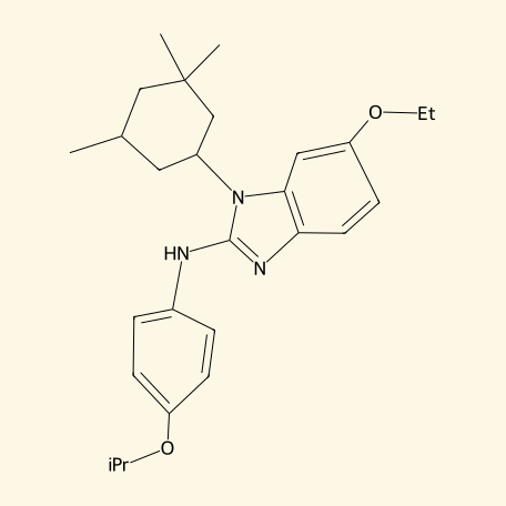 CCOc1ccc2nc(Nc3ccc(OC(C)C)cc3)n(C3CC(C)CC(C)(C)C3)c2c1